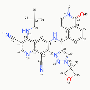 Cn1ccc2c(C(Nc3cc(C#N)c4ncc(C#N)c(NCC(C)(C)C)c4c3)c3cn(C4(C)COC4)nn3)cccc2c1=O